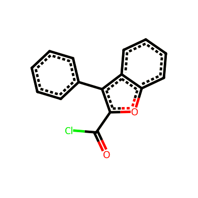 O=C(Cl)c1oc2ccccc2c1-c1ccccc1